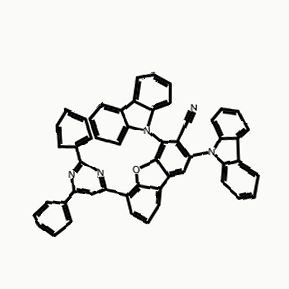 N#Cc1c(-n2c3ccccc3c3ccccc32)cc2c(oc3c(-c4cc(-c5ccccc5)nc(-c5ccccc5)n4)cccc32)c1-n1c2ccccc2c2ccccc21